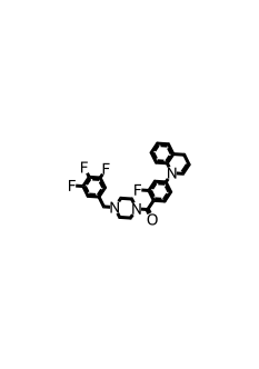 O=C(c1ccc(N2C=CCc3ccccc32)cc1F)N1CCN(Cc2cc(F)c(F)c(F)c2)CC1